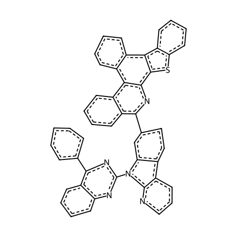 c1ccc(-c2nc(-n3c4cc(-c5nc6c7sc8ccccc8c7c7ccccc7c6c6ccccc56)ccc4c4cccnc43)nc3ccccc23)cc1